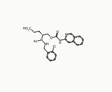 CC(=O)N(NCc1ccccc1Cl)[C@@H](CCC(=O)O)COC(=O)Nc1cc2ccccc2cn1